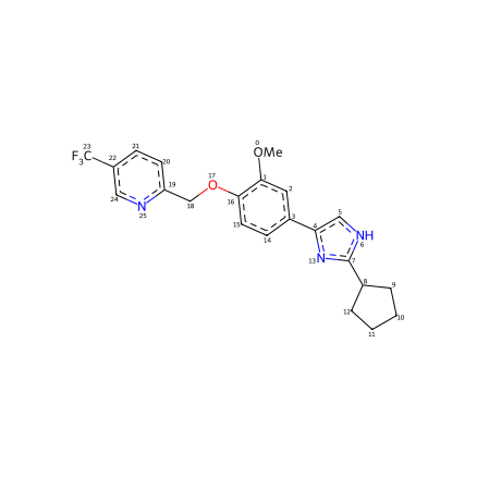 COc1cc(-c2c[nH]c(C3CCCC3)n2)ccc1OCc1ccc(C(F)(F)F)cn1